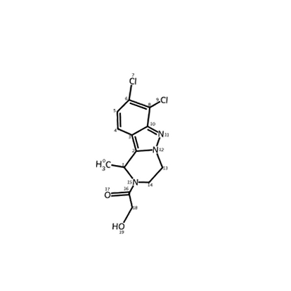 CC1c2c3ccc(Cl)c(Cl)c3nn2CCN1C(=O)CO